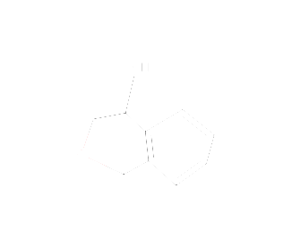 CC1COCc2ccc[c]c21